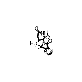 CC1CC(=O)NC(=O)C1N1C(=O)c2nccnc2C1=O